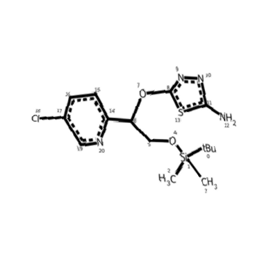 CC(C)(C)[Si](C)(C)OCC(Oc1nnc(N)s1)c1ccc(Cl)cn1